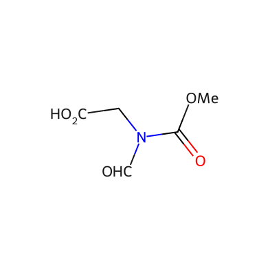 COC(=O)N(C=O)CC(=O)O